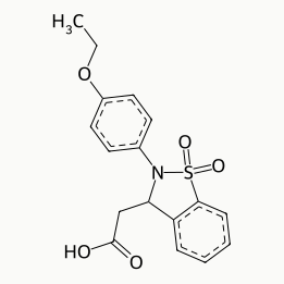 CCOc1ccc(N2C(CC(=O)O)c3ccccc3S2(=O)=O)cc1